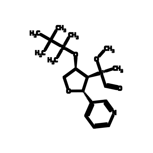 CO[N+](C)(C=O)[C@@H]1[C@H](O[Si](C)(C)C(C)(C)C)CO[C@H]1c1cccnc1